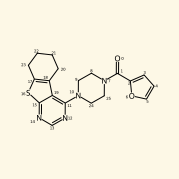 O=C(c1ccco1)N1CCN(c2ncnc3sc4c(c23)CCCC4)CC1